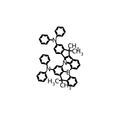 CC1(C)c2ccccc2B2c3c(cc(N(c4ccccc4)c4ccccc4)cc31)-n1c3c(c4cccc2c41)C(C)(C)c1cc(N(c2ccccc2)c2ccccc2)ccc1-3